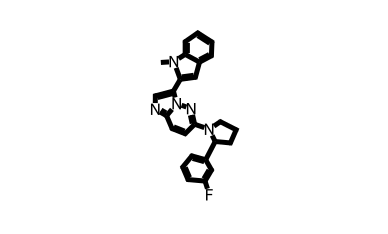 Cn1c(-c2cnc3ccc(N4CCCC4c4cccc(F)c4)nn23)cc2ccccc21